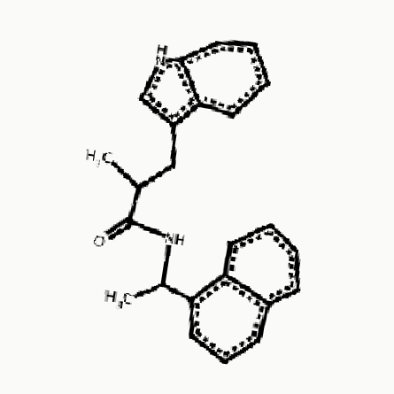 CC(Cc1c[nH]c2ccccc12)C(=O)NC(C)c1cccc2ccccc12